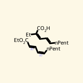 CCCCC/C=C\C=C\C(=O)OCC.CCCCCC=CC=C(CC)C(=O)O